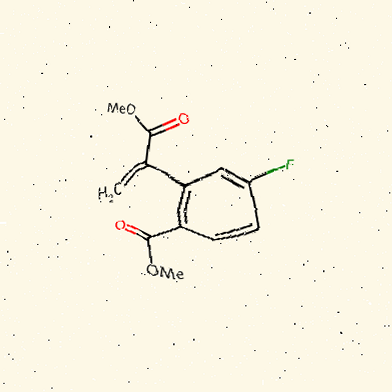 C=C(C(=O)OC)c1cc(F)ccc1C(=O)OC